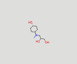 CN(CC(O)CO)[C@H]1CC[C@H](O)CC1